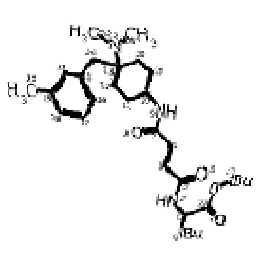 CCC(C)C(NC(=O)CCC(=O)NC1CCC(Cc2cccc(C)c2)(N(C)C)CC1)C(=O)OC(C)(C)C